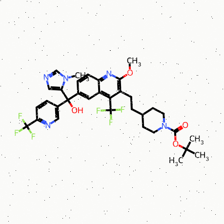 COc1nc2ccc(C(O)(c3ccc(C(F)(F)F)nc3)c3cncn3C)cc2c(C(F)(F)F)c1CCC1CCN(C(=O)OC(C)(C)C)CC1